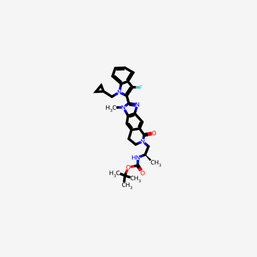 C[C@H](CN1CCc2cc3c(cc2C1=O)nc(-c1c(F)c2ccccc2n1CC1CC1)n3C)NC(=O)OC(C)(C)C